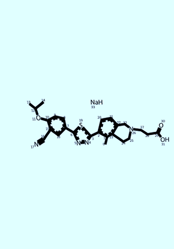 Cc1c(-c2nnc(-c3ccc(OC(C)C)c(C#N)c3)s2)ccc2c1CCN(CCC(=O)O)C2.[NaH]